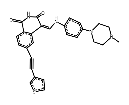 CN1CCN(c2ccc(NC=C3C(=O)NC(=O)c4ccc(C#Cc5ccsc5)cc43)cc2)CC1